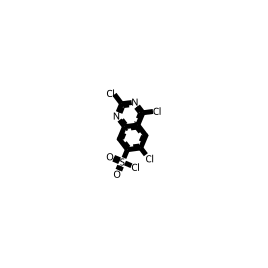 O=S(=O)(Cl)c1cc2nc(Cl)nc(Cl)c2cc1Cl